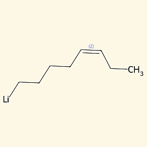 [Li][CH2]CCC/C=C\CC